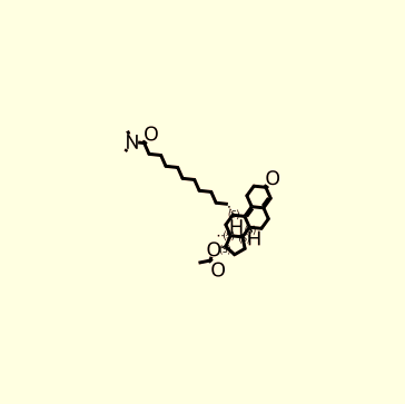 CC(=O)O[C@H]1CC[C@H]2[C@@H]3CCC4=CC(=O)CCC4=C3[C@@H](CCCCCCCCCCC(=O)N(C)C)C[C@]12C